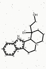 CCC1(CCO)CCCN2CCc3c([nH]c4ccccc34)C21